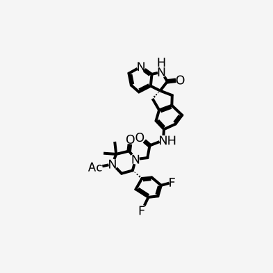 CC(=O)N1C[C@@H](c2cc(F)cc(F)c2)N(CC(=O)Nc2ccc3c(c2)C[C@@]2(C3)C(=O)Nc3ncccc32)C(=O)C1(C)C